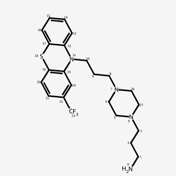 NCCCN1CCN(CCCN2c3ccccc3Sc3ccc(C(F)(F)F)cc32)CC1